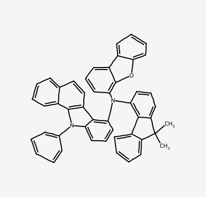 CC1(C)c2ccccc2-c2c(N(c3cccc4c3oc3ccccc34)c3cccc4c3c3ccc5ccccc5c3n4-c3ccccc3)cccc21